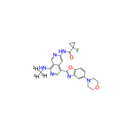 [2H]C([2H])([2H])Nc1ncc(-c2nc3cc(N4CCOCC4)ccc3o2)c2cc(NC(=O)C3(F)CC3)ncc12